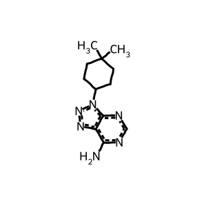 CC1(C)CCC(n2nnc3c(N)ncnc32)CC1